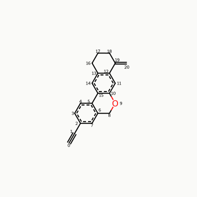 C#Cc1ccc2c(c1)COc1cc3c(cc1-2)CCCC3=C